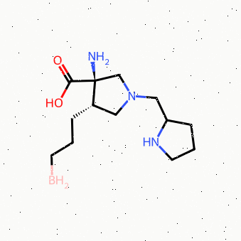 BCCC[C@H]1CN(CC2CCCN2)C[C@@]1(N)C(=O)O